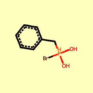 O[PH](O)(Br)Cc1ccccc1